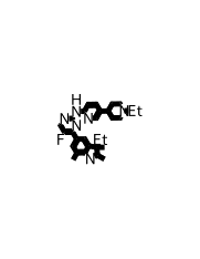 CCN1CCC(c2ccc(Nc3ncc(F)c(-c4cc(C)c5c(c4)C(C)(CC)C(C)=N5)n3)nc2)CC1